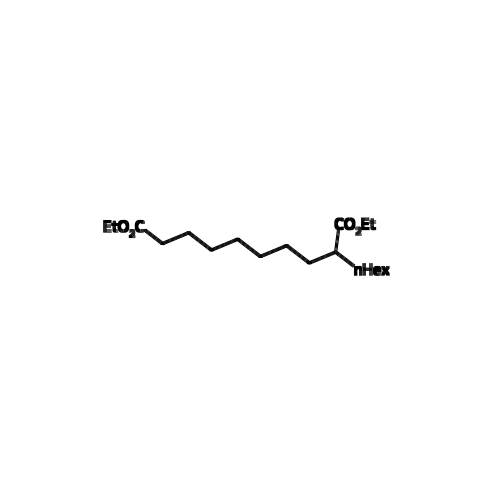 CCCCCCC(CCCCCCCC(=O)OCC)C(=O)OCC